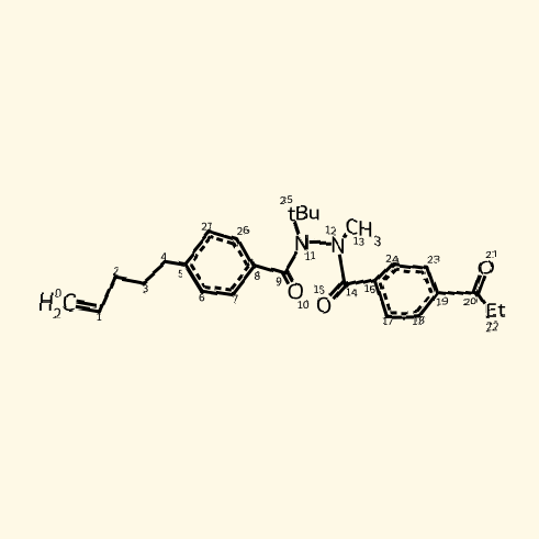 C=CCCCc1ccc(C(=O)N(N(C)C(=O)c2ccc(C(=O)CC)cc2)C(C)(C)C)cc1